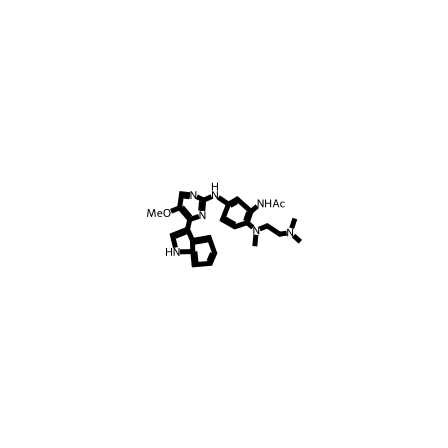 COc1cnc(Nc2ccc(N(C)CCN(C)C)c(NC(C)=O)c2)nc1-c1c[nH]c2ccccc12